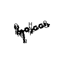 CC(C)(C)OC(=O)N1CCC(N2CCC(C(Nc3ccc(-c4cc5c(N6CCOCC6)ncnc5n4COCC[Si](C)(C)C)cc3)C(F)(F)F)CC2)CC1